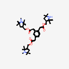 CN1C(C)(C)CC(COC(=O)Cc2ccc(CC(=O)OCC3CC(C)(C)NC3(C)C)c(CC(=O)OCC3CC(C)(C)N(C)C3(C)C)c2)C1(C)C